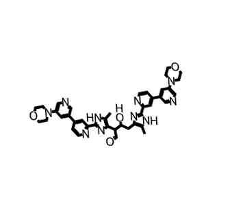 Cc1[nH]c(-c2cc(-c3cncc(N4CCOCC4)c3)ccn2)nc1CC(O)C(C=O)c1nc(-c2cc(-c3cncc(N4CCOCC4)c3)ccn2)[nH]c1C